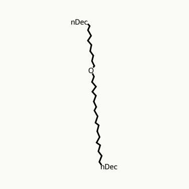 CCCCCCCCCCCCCCCCCCCCCCCCCCCCOCCCCCCCCCCCCCCCCCCC